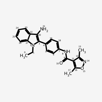 CCn1c(-c2ccc(NC(=O)c3c(C)noc3C)cc2)c(N)c2ccccc21